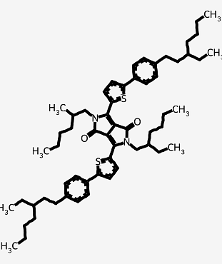 CCCCC(C)CN1C(=O)C2=C(c3ccc(-c4ccc(CCC(CC)CCCC)cc4)s3)N(CC(CC)CCCC)C(=O)C2=C1c1ccc(-c2ccc(CCC(CC)CCCC)cc2)s1